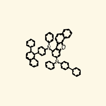 c1ccc(-c2ccc(N(c3ccccc3)c3cc(N(c4ccccc4)c4ccc(-c5c(-c6ccccc6)ccc6ccccc56)cc4)c4c(c3)oc3c5ccccc5ccc34)cc2)cc1